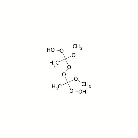 COC(C)(OO)OOC(C)(OC)OO